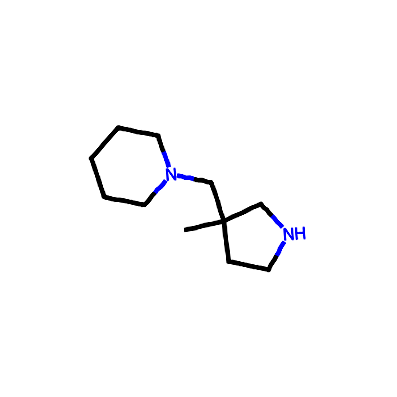 CC1(CN2CCCCC2)CCNC1